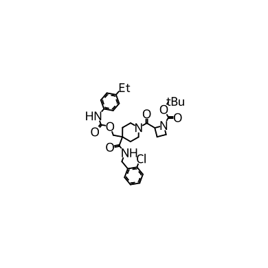 CCc1ccc(NC(=O)OCC2(C(=O)NCc3ccccc3Cl)CCN(C(=O)C3CCN3C(=O)OC(C)(C)C)CC2)cc1